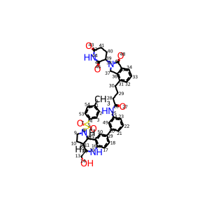 Cc1ccc(S(=O)(=O)N2CC[C@@H]3[C@H](CO)Nc4ccc(-c5cccc(NC(=O)CCCc6cccc7c6CN(C6CCC(=O)NC6=O)C7=O)c5)cc4[C@@H]32)cc1